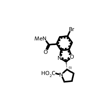 CNC(=O)c1cc(Br)cc2oc([C@@H]3CCCN3C(=O)O)nc12